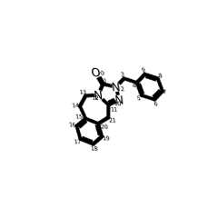 O=c1n(Cc2ccccc2)nc2n1CCc1ccccc1C2